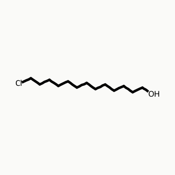 OCCCCCCCCCCCCCCl